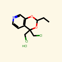 CCC1Oc2cnccc2C(CCl)(CCl)O1.Cl